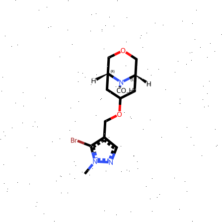 Cn1ncc(COC2C[C@H]3COC[C@@H](C2)N3C(=O)O)c1Br